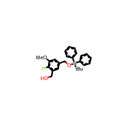 COc1cc(CO[Si](c2ccccc2)(c2ccccc2)C(C)(C)C)cc(CO)c1F